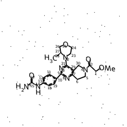 COCC(=O)N1CCc2nc(-c3ccc(NC(N)=O)cc3)nc(N3CCOC[C@@H]3C)c2C1